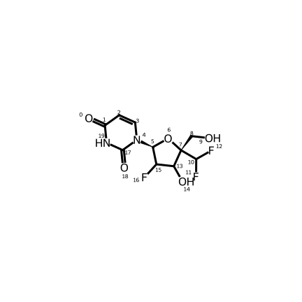 O=c1ccn([C@H]2O[C@](CO)(C(F)F)C(O)C2F)c(=O)[nH]1